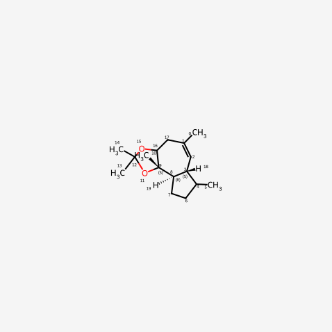 CC1=C[C@@H]2C(C)CC[C@H]2[C@]2(C)OC(C)(C)OC2C1